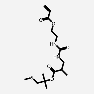 C=CC(=O)OCCNC(=O)NCC(C)C(=O)OC(C)(C)CSC